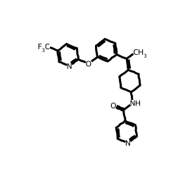 CC(=C1CCC(NC(=O)c2ccncc2)CC1)c1cccc(Oc2ccc(C(F)(F)F)cn2)c1